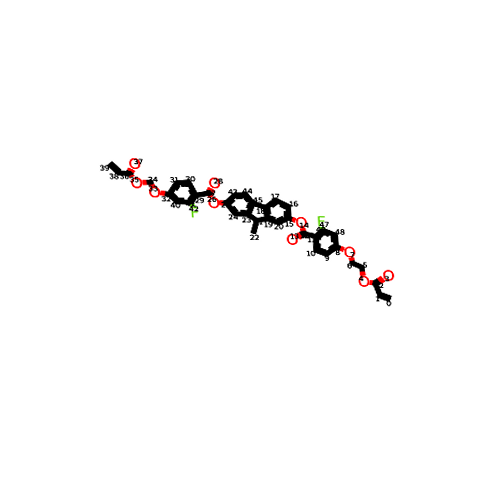 C=CC(=O)OCCOc1ccc(C(=O)Oc2ccc3c(c2)C(C)c2cc(OC(=O)c4ccc(OCOC(=O)C=C)cc4F)ccc2-3)c(F)c1